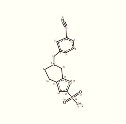 N#Cc1cccc(CN2CCc3cc(S(N)(=O)=O)sc3C2)c1